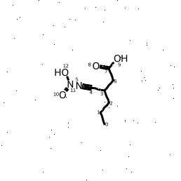 CCCC(C#N)CC(=O)O.O=NO